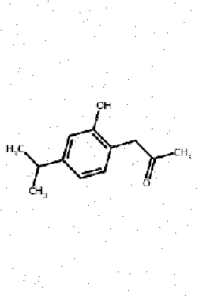 CC(=O)Cc1ccc(C(C)C)cc1O